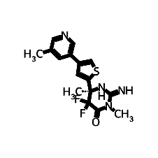 Cc1cncc(-c2csc([C@@]3(C)NC(=N)N(C)C(=O)C3(F)F)c2)c1